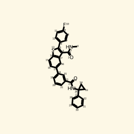 CNC(=O)c1c(-c2ccc(F)cc2)sc2ccc(-c3cccc(C(=O)NC4(c5ccccc5)CC4)c3)cc12